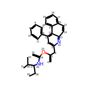 C=C(Cc1cc(-c2ccccc2)c2c(ccc3ccccc32)n1)OC(=C)NC(CC)C(C)C